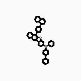 c1ccc(-c2ccc(N(c3ccccc3)c3ccc4c(c3)oc3c(-c5ccc(-c6cccc7ccccc67)cc5)c5ccccc5cc34)cc2)cc1